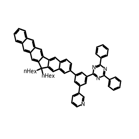 CCCCCCC1(CCCCCC)c2cc3cc(-c4cc(-c5cccnc5)cc(-c5nc(-c6ccccc6)nc(-c6ccccc6)n5)c4)ccc3cc2-c2cc3cc4ccccc4cc3cc21